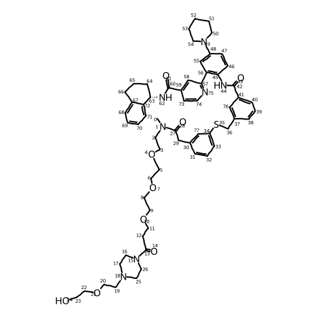 CN(CCOCCOCCOCCC(=O)N1CCN(CCOCCO)CC1)C(=O)Cc1cccc(SCc2cccc(C(=O)Nc3ccc(N4CCCCC4)cc3-c3cc(C(=O)N[C@H]4CCCc5ccccc54)ccn3)c2)c1